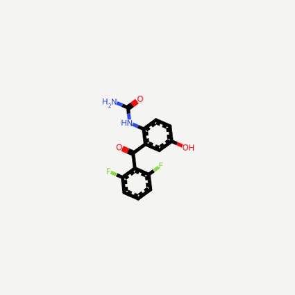 NC(=O)Nc1ccc(O)cc1C(=O)c1c(F)cccc1F